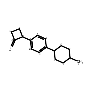 CC1CCC(c2ccc(C3CCC3=O)cc2)CC1